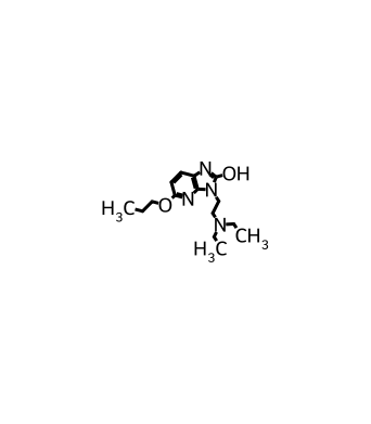 CCCOc1ccc2nc(O)n(CCN(CC)CC)c2n1